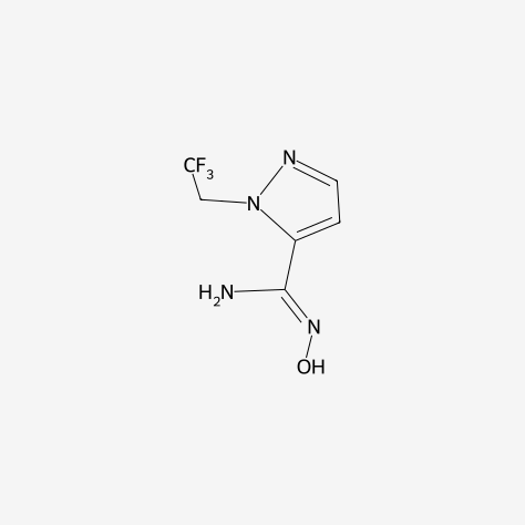 N/C(=N\O)c1ccnn1CC(F)(F)F